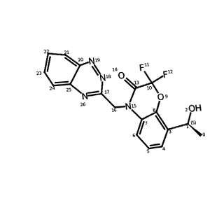 C[C@H](O)c1cccc2c1OC(F)(F)C(=O)N2Cc1nnc2ccccc2n1